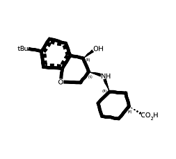 CC(C)(C)c1ccc2c(c1)OC[C@H](N[C@@H]1CCC[C@@H](C(=O)O)C1)[C@@H]2O